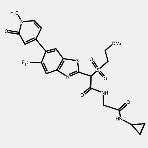 COCCS(=O)(=O)C(C(=O)NCC(=O)NC1CC1)c1nc2cc(C(F)(F)F)c(-c3ccn(C)c(=O)c3)cc2s1